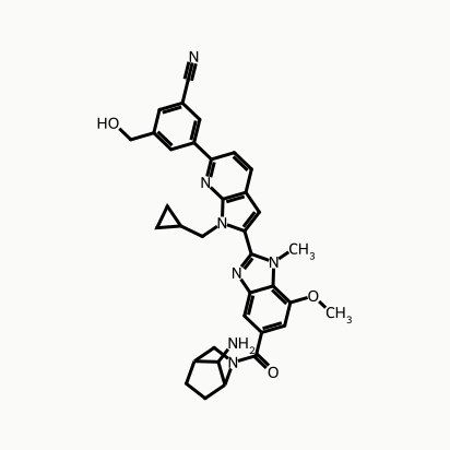 COc1cc(C(=O)N2CC3CCC2C3N)cc2nc(-c3cc4ccc(-c5cc(C#N)cc(CO)c5)nc4n3CC3CC3)n(C)c12